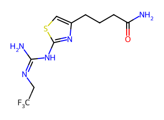 NC(=O)CCCc1csc(N/C(N)=N\CC(F)(F)F)n1